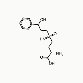 N=S(=O)(CC[C@H](N)C(=O)O)CC[C@H](O)c1ccccc1